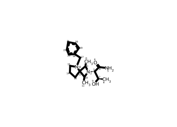 CC1N([C@H](C(N)=O)[C@@H](C)O)C(C)C12CCCN2Cc1ccccc1